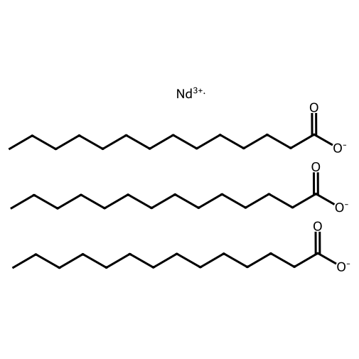 CCCCCCCCCCCCCC(=O)[O-].CCCCCCCCCCCCCC(=O)[O-].CCCCCCCCCCCCCC(=O)[O-].[Nd+3]